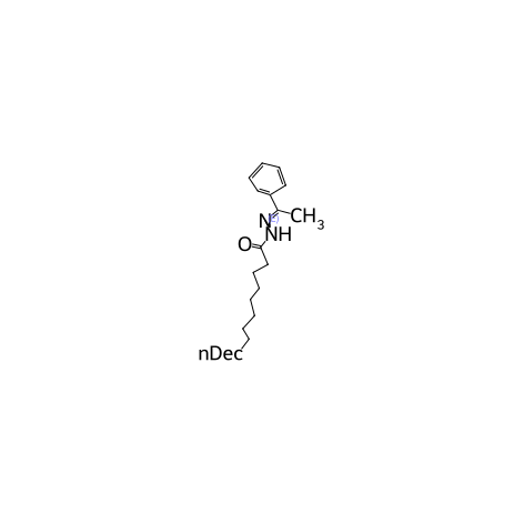 CCCCCCCCCCCCCCCCCC(=O)N/N=C(\C)c1ccccc1